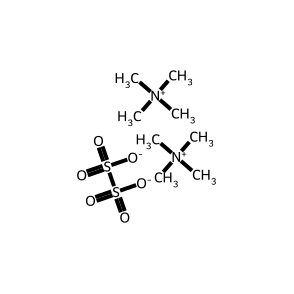 C[N+](C)(C)C.C[N+](C)(C)C.O=S(=O)([O-])S(=O)(=O)[O-]